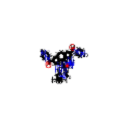 C=C(CN[C@@H](C)CC1(c2nnn[nH]2)c2ccc(C(=O)N3CCN(C)CC3)cc2CCc2cc(C(=O)N3CCN(C)CC3)ccc21)N1C(C#N)C[C@@H]2C[C@@H]21